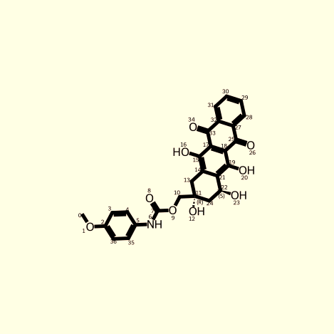 COc1ccc(NC(=O)OC[C@@]2(O)Cc3c(O)c4c(c(O)c3[C@@H](O)C2)C(=O)c2ccccc2C4=O)cc1